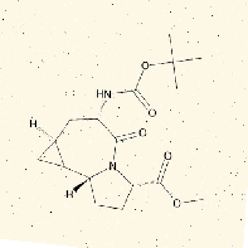 COC(=O)[C@@H]1CC[C@@H]2C3C[C@H]3C[C@H](NC(=O)OC(C)(C)C)C(=O)N21